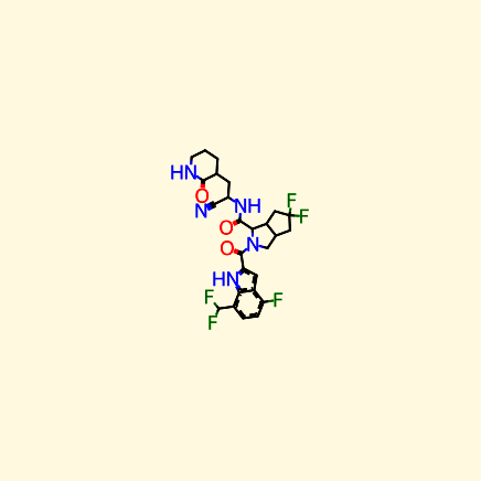 N#CC(CC1CCCNC1=O)NC(=O)C1C2CC(F)(F)CC2CN1C(=O)c1cc2c(F)ccc(C(F)F)c2[nH]1